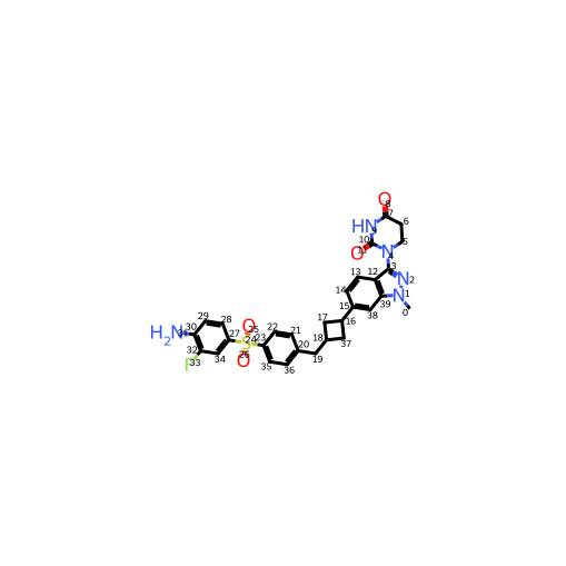 Cn1nc(N2CCC(=O)NC2=O)c2ccc(C3CC(Cc4ccc(S(=O)(=O)c5ccc(N)c(F)c5)cc4)C3)cc21